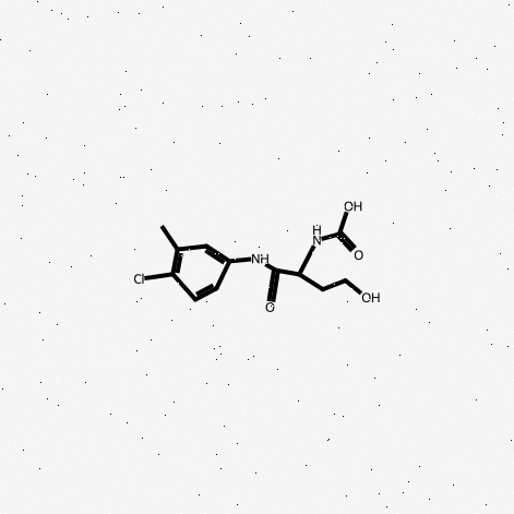 Cc1cc(NC(=O)C(CCO)NC(=O)O)ccc1Cl